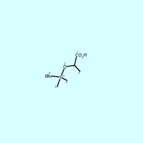 CC(O[Si](C)(C)C(C)(C)C)C(=O)O